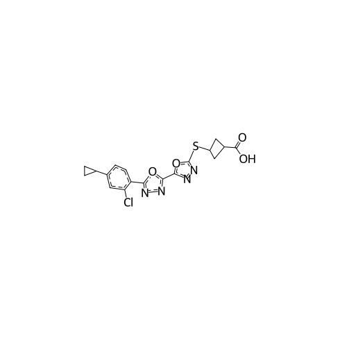 O=C(O)C1CC(Sc2nnc(-c3nnc(-c4ccc(C5CC5)cc4Cl)o3)o2)C1